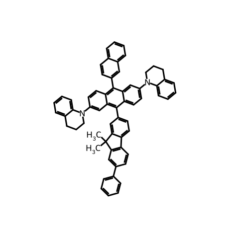 CC1(C)c2cc(-c3ccccc3)ccc2-c2ccc(-c3c4ccc(N5CCCc6ccccc65)cc4c(-c4ccc5ccccc5c4)c4ccc(N5CCCc6ccccc65)cc34)cc21